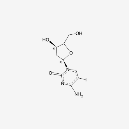 Nc1nc(=O)n([C@H]2C[C@@H](O)C(CO)O2)cc1I